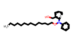 CCCCCCCCCCCCCCON(c1ccccc1)c1ccccc1CO